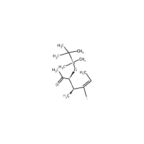 C/C=C(/I)[C@@H](C)[C@H](O[Si](C)(C)C(C)(C)C)C(C)=O